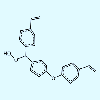 C=Cc1ccc(Oc2ccc(C(OO)c3ccc(C=C)cc3)cc2)cc1